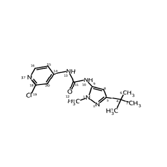 Cn1nc(C(C)(C)C)cc1NC(=O)Nc1ccnc(Cl)c1